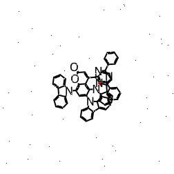 O=c1cc(-c2nc(-c3ccccc3)nc(-c3ccccc3)n2)c2c(-n3c4ccccc4c4ccccc43)c(-n3c4ccccc4c4ccccc43)cc(-n3c4ccccc4c4ccccc43)c2o1